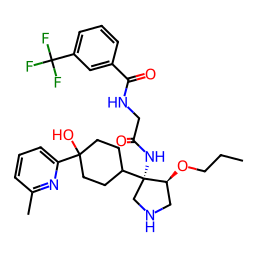 CCCO[C@H]1CNC[C@@]1(NC(=O)CNC(=O)c1cccc(C(F)(F)F)c1)C1CCC(O)(c2cccc(C)n2)CC1